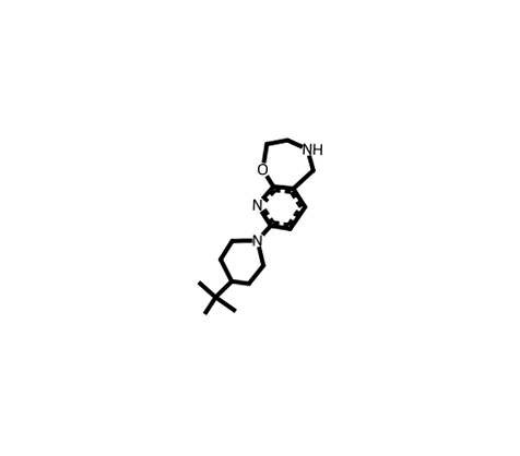 CC(C)(C)C1CCN(c2ccc3c(n2)OCCNC3)CC1